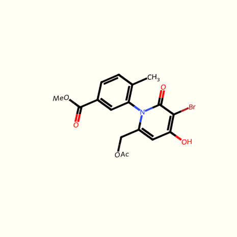 COC(=O)c1ccc(C)c(-n2c(COC(C)=O)cc(O)c(Br)c2=O)c1